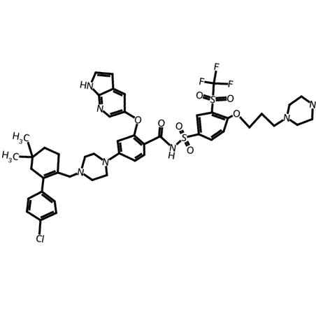 CC1(C)CCC(CN2CCN(c3ccc(C(=O)NS(=O)(=O)c4ccc(OCCCN5CCNCC5)c(S(=O)(=O)C(F)(F)F)c4)c(Oc4cnc5[nH]ccc5c4)c3)CC2)=C(c2ccc(Cl)cc2)C1